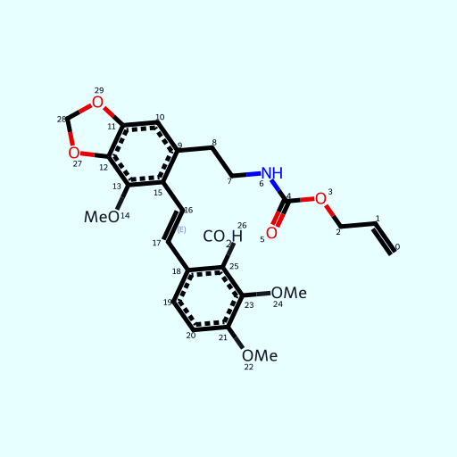 C=CCOC(=O)NCCc1cc2c(c(OC)c1/C=C/c1ccc(OC)c(OC)c1C(=O)O)OCO2